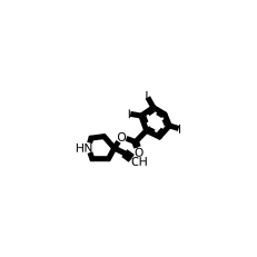 C#CC1(OC(=O)c2cc(I)cc(I)c2I)CCNCC1